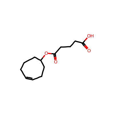 O=C(O)CCCC(=O)OC1CCC=CCCC1